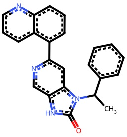 CC(c1ccccc1)n1c(=O)[nH]c2cnc(-c3cccc4ncccc34)cc21